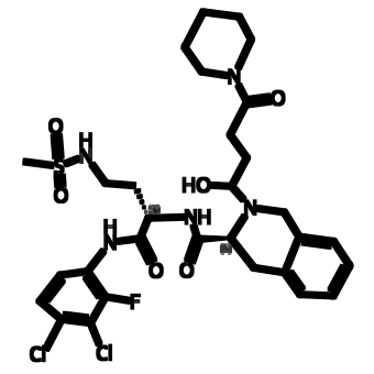 CS(=O)(=O)NCC[C@H](NC(=O)[C@@H]1Cc2ccccc2CN1C(O)CCC(=O)N1CCCCC1)C(=O)Nc1ccc(Cl)c(Cl)c1F